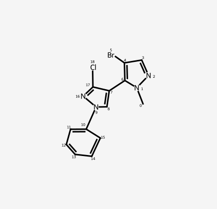 Cn1ncc(Br)c1-c1cn(-c2ccccc2)nc1Cl